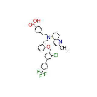 Cc1ccc2c(n1)CCCC2N(CCc1ccc(C(=O)O)cc1)CCc1ccccc1OCc1ccc(-c2ccc(C(F)(F)F)cc2)cc1Cl